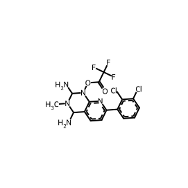 CN1C(N)c2ccc(-c3cccc(Cl)c3Cl)nc2N(OC(=O)C(F)(F)F)C1N